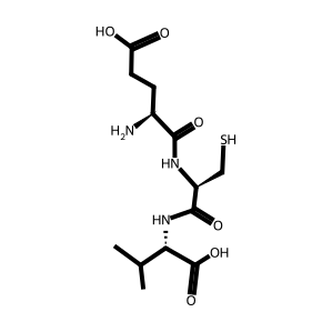 CC(C)[C@H](NC(=O)[C@H](CS)NC(=O)[C@@H](N)CCC(=O)O)C(=O)O